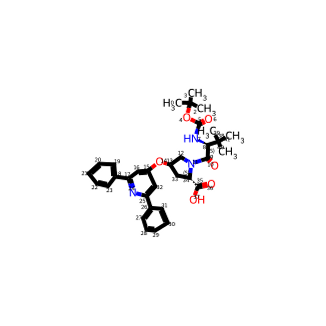 CC(C)(C)OC(=O)N[C@H](C(=O)N1CC(Oc2cc(-c3ccccc3)nc(-c3ccccc3)c2)C[C@H]1C(=O)O)C(C)(C)C